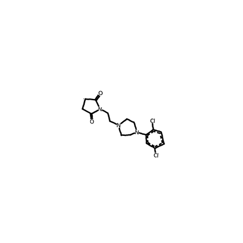 O=C1[CH]CC(=O)N1CCN1CCN(c2cc(Cl)ccc2Cl)CC1